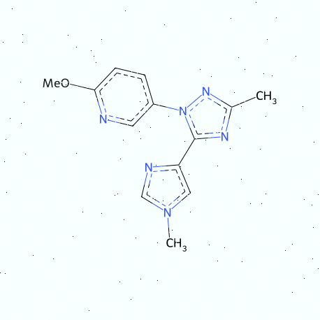 COc1ccc(-n2nc(C)nc2-c2cn(C)cn2)cn1